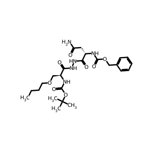 CCCCOC[C@H](NC(=O)OC(C)(C)C)C(=O)NNC(=O)[C@H](CC(N)=O)NC(=O)OCc1ccccc1